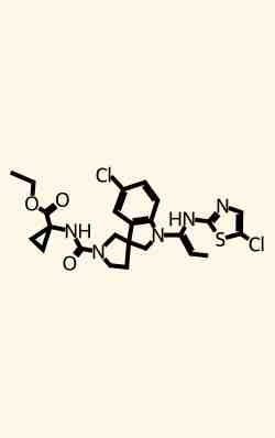 CC=C(Nc1ncc(Cl)s1)N1CC2(CCN(C(=O)NC3(C(=O)OCC)CC3)C2)c2cc(Cl)ccc21